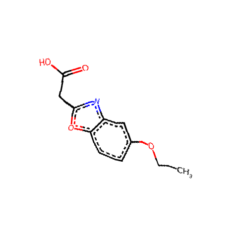 CCOc1ccc2oc(CC(=O)O)nc2c1